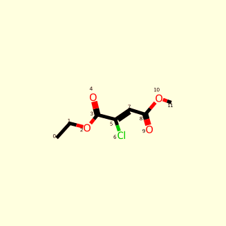 CCOC(=O)/C(Cl)=C/C(=O)OC